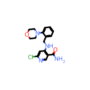 NC(=O)c1cnc(Cl)cc1NCc1ccccc1N1CCOCC1